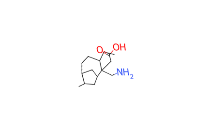 CCC1CCC2CC(CC2C)C1(CN)CC(=O)O